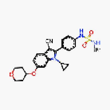 CC(C)NS(=O)(=O)Nc1ccc(-c2c(C#N)c3ccc(OC4CCOCC4)cc3n2C2CC2)cc1